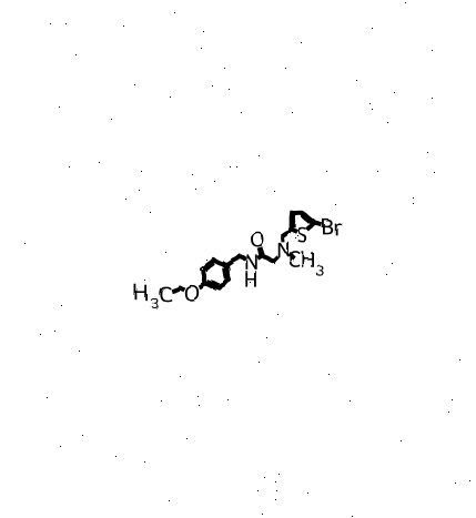 CCOc1ccc(CNC(=O)CN(C)Cc2ccc(Br)s2)cc1